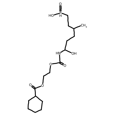 CC(CCC(O)NC(=O)OCCOC(=O)C1CCCCC1)CC[PH](=O)O